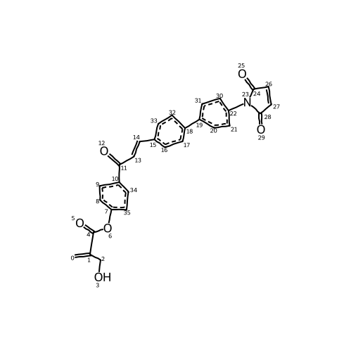 C=C(CO)C(=O)Oc1ccc(C(=O)/C=C/c2ccc(-c3ccc(N4C(=O)C=CC4=O)cc3)cc2)cc1